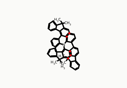 CC1(C)c2ccccc2-c2ccc(-c3ccccc3N(c3ccccc3-c3cccc4c3-c3ccccc3C4(C)C)c3cccc4c3-c3ccccc3C4(C)C)cc21